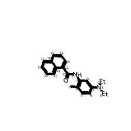 CCN(CC)c1ccc(C)c(NC(=O)c2cccc3ccccc23)c1